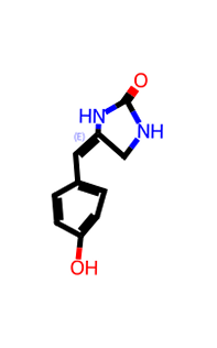 O=C1NC/C(=C\c2ccc(O)cc2)N1